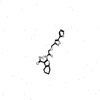 NC(=O)c1c(NC(=O)COCc2cc(-c3cccs3)on2)sc2c1CCCC2